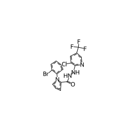 O=C(NNc1ncc(C(F)(F)F)cc1Cl)c1cccn1-c1ccccc1Br